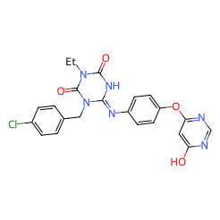 CCn1c(=O)[nH]/c(=N\c2ccc(Oc3cc(O)ncn3)cc2)n(Cc2ccc(Cl)cc2)c1=O